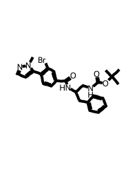 Cn1nccc1-c1ccc(C(=O)NC(CNC(=O)OC(C)(C)C)Cc2ccccc2)cc1Br